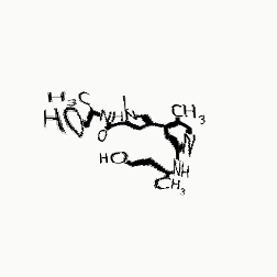 Cc1cnc(N[C@@H](C)C=CO)cc1-c1cc(C(=O)N[C@@H](C)CO)n(I)c1